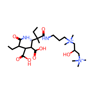 CCC(C(N)=O)C(C(=O)O)C(CC(C)(CC)C(=O)NCCC[N+](C)(C)CC(O)C[N+](C)(C)C)C(=O)O